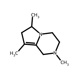 CC1=C2CN(C)CCN2C(C)C1